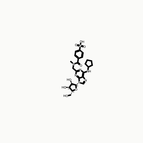 CN(Cc1nc(NC2CCCC2)c2ncn([C@@H]3O[C@H](CO)[C@@H](O)[C@H]3O)c2n1)C(=O)c1ccc(S(=O)(=O)O)cc1